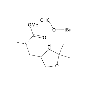 CC(C)(C)OC=O.COC(=O)N(C)CC1COC(C)(C)N1